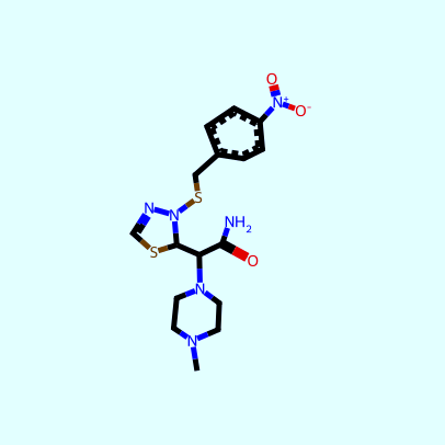 CN1CCN(C(C(N)=O)C2SC=NN2SCc2ccc([N+](=O)[O-])cc2)CC1